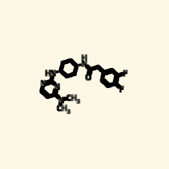 CN(C)c1ccnc(N[C@H]2CC[C@@H](NC(=O)Cc3ccc(F)c(F)c3)CC2)n1